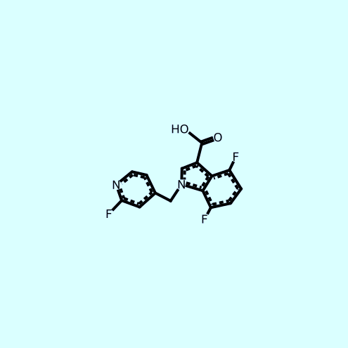 O=C(O)c1cn(Cc2ccnc(F)c2)c2c(F)ccc(F)c12